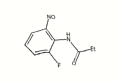 CCC(=O)Nc1c(F)cccc1N=O